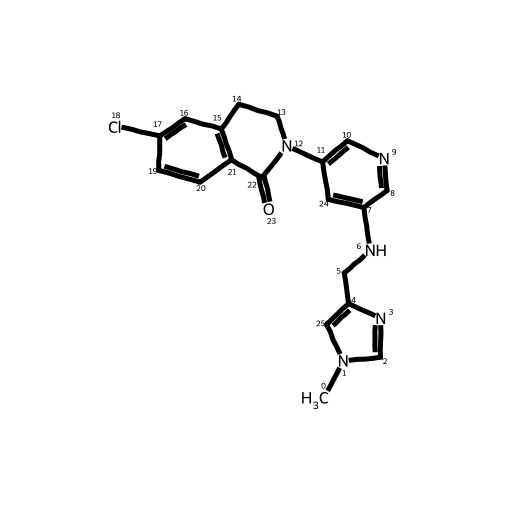 Cn1cnc(CNc2cncc(N3CCc4cc(Cl)ccc4C3=O)c2)c1